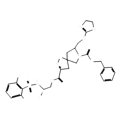 O=C(NC[C@H](NS(=O)(=O)c1c(Cl)cccc1Cl)C(=O)O)C1=NOC2(C1)CC(CNC1=NCCN1)N(C(=O)OCc1ccccc1)C2